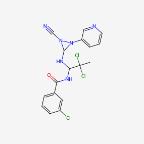 CC(Cl)(Cl)C(NC(=O)c1cccc(Cl)c1)NC1N(C#N)N1c1cccnc1